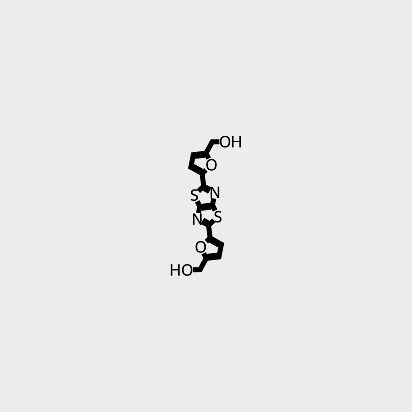 OCc1ccc(-c2nc3sc(-c4ccc(CO)o4)nc3s2)o1